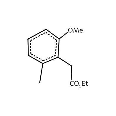 CCOC(=O)Cc1c(C)cccc1OC